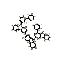 c1ccc(-c2cccc(-n3c4ccccc4c4cc(-c5ccc6c7ccccc7n(-c7nc(-c8ccccc8)c8sc9ccccc9c8n7)c6c5)ccc43)c2)cc1